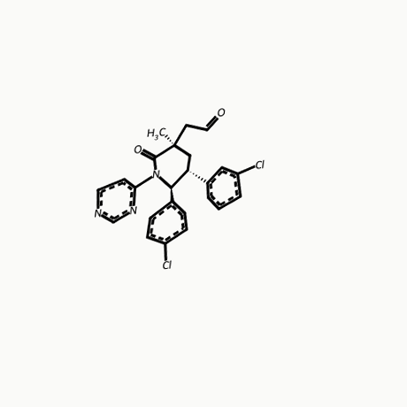 C[C@]1(CC=O)C[C@H](c2cccc(Cl)c2)[C@@H](c2ccc(Cl)cc2)N(c2ccncn2)C1=O